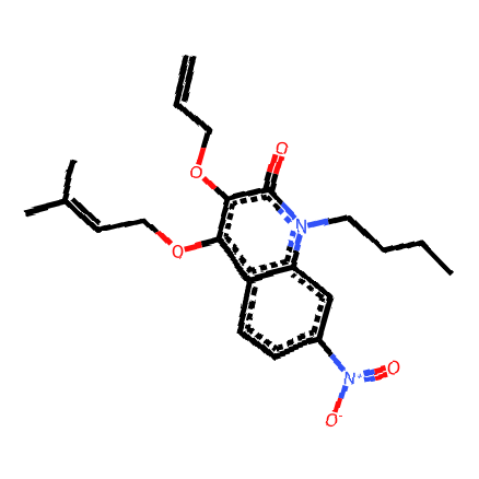 C=CCOc1c(OCC=C(C)C)c2ccc([N+](=O)[O-])cc2n(CCCC)c1=O